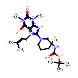 CC(C)=CCn1c(N2CCCC(C)(NC(=O)OC(C)(C)C)C2)nc2c1c(=O)n(C)c(=O)n2C